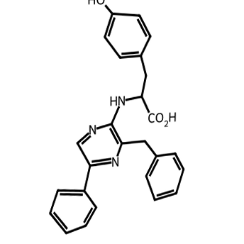 O=C(O)C(Cc1ccc(O)cc1)Nc1ncc(-c2ccccc2)nc1Cc1ccccc1